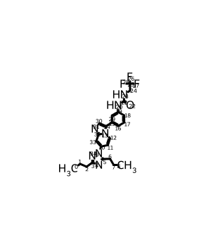 CCCc1nc(CCC)n(-c2ccn3c(-c4cccc(NC(=O)NCC(F)(F)F)c4)cnc3c2)n1